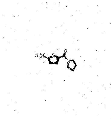 Nc1ccc(C(=O)N2CCCC2)s1